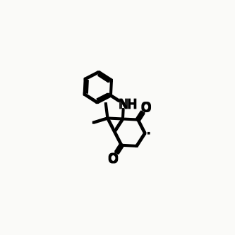 CC1(C)C2C(=O)C[CH]C(=O)C21Nc1ccccc1